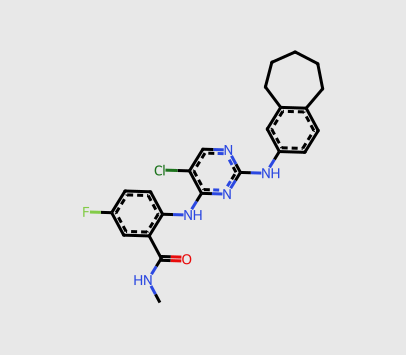 CNC(=O)c1cc(F)ccc1Nc1nc(Nc2ccc3c(c2)CCCCC3)ncc1Cl